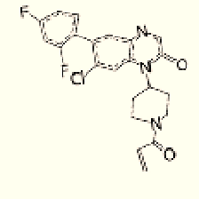 C=CC(=O)N1CCC(n2c(=O)cnc3cc(-c4ccc(F)cc4F)c(Cl)cc32)CC1